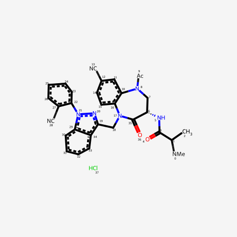 CNC(C)C(=O)N[C@H]1CN(C(C)=O)c2cc(C#N)ccc2N(Cc2nn(-c3ccccc3C#N)c3ccccc23)C1=O.Cl